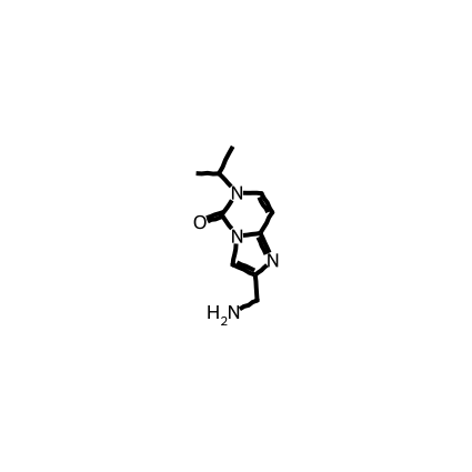 CC(C)n1ccc2nc(CN)cn2c1=O